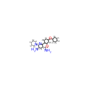 NC(=O)c1cc(N)c(N2CCCCC2)nc1-c1ccc(Oc2ccccc2)cc1